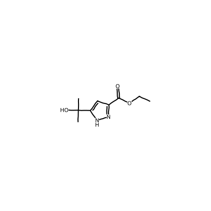 CCOC(=O)c1cc(C(C)(C)O)[nH]n1